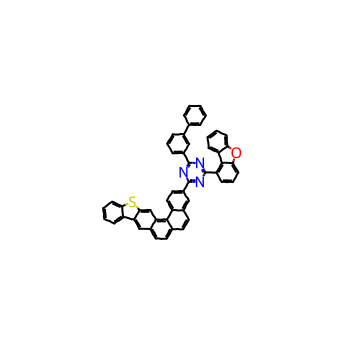 c1ccc(-c2cccc(-c3nc(-c4ccc5c(ccc6ccc7cc8c(cc7c65)sc5ccccc58)c4)nc(-c4cccc5oc6ccccc6c45)n3)c2)cc1